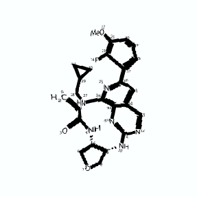 C=CC(=O)N[C@H]1COC[C@H]1Nc1ncc2cc(-c3cccc(OC)c3F)nc(NCC3CC3)c2n1